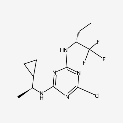 CC[C@@H](Nc1nc(Cl)nc(N[C@@H](C)C2CC2)n1)C(F)(F)F